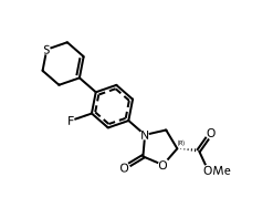 COC(=O)[C@H]1CN(c2ccc(C3=CCSCC3)c(F)c2)C(=O)O1